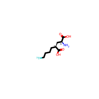 N[C@@H](C[C@H](CCCC[18F])C(=O)O)C(=O)O